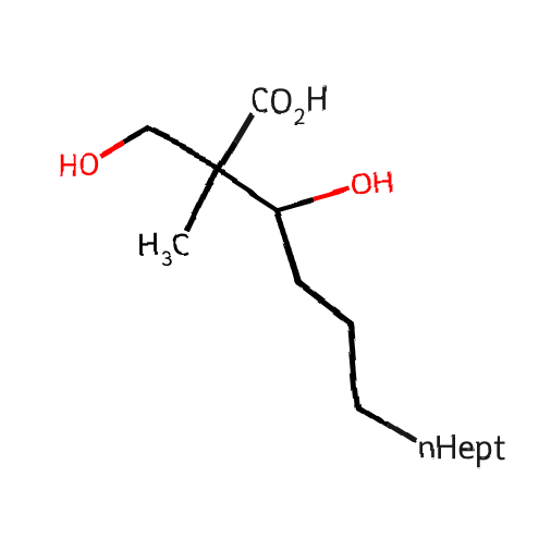 CCCCCCCCCCC(O)C(C)(CO)C(=O)O